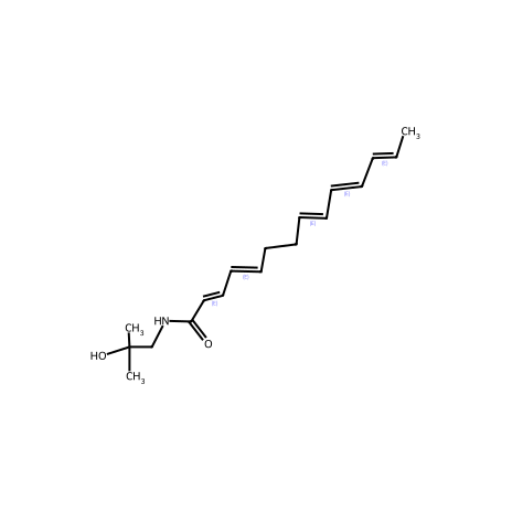 C/C=C/C=C/C=C/CC/C=C/C=C/C(=O)NCC(C)(C)O